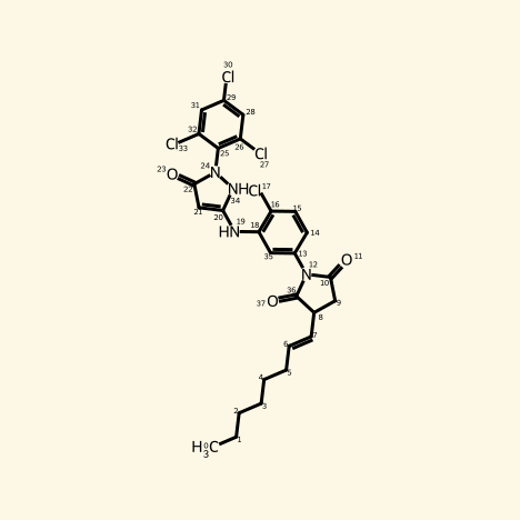 CCCCCCC=CC1CC(=O)N(c2ccc(Cl)c(Nc3cc(=O)n(-c4c(Cl)cc(Cl)cc4Cl)[nH]3)c2)C1=O